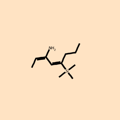 C/C=C(N)\C=C(/CCC)[Si](C)(C)C